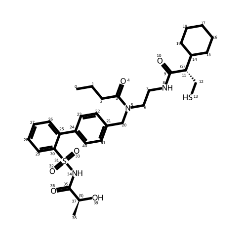 CCCC(=O)N(CCNC(=O)[C@@H](CS)C1CCCCC1)Cc1ccc(-c2ccccc2S(=O)(=O)NC(=O)[C@H](C)O)cc1